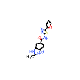 C=C1Nc2ccc(C(=O)Nc3nnc(-c4ccco4)s3)cc2N1